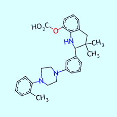 Cc1ccccc1N1CCN(c2cccc(C3Nc4c(cccc4OC(=O)O)CC3(C)C)c2)CC1